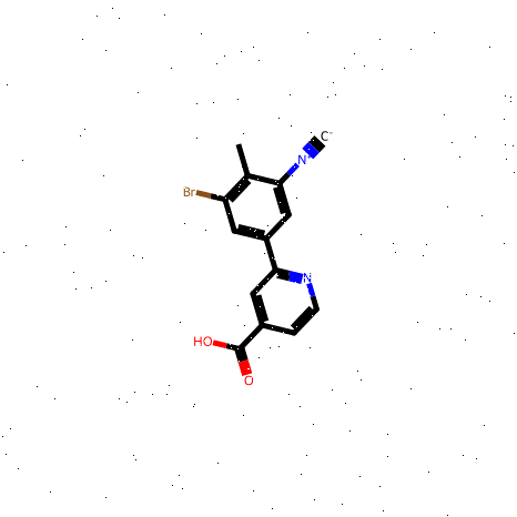 [C-]#[N+]c1cc(-c2cc(C(=O)O)ccn2)cc(Br)c1C